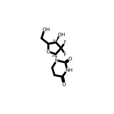 O=C1CCN([C@@H]2OC(CO)[C@@H](O)C2(F)F)C(=O)N1